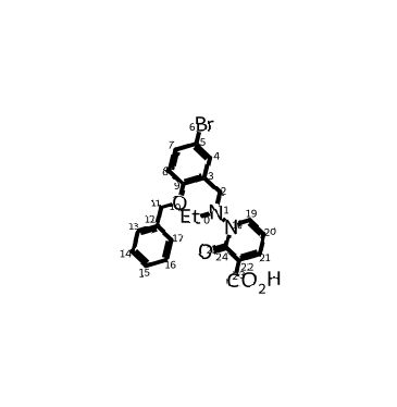 CCN(Cc1cc(Br)ccc1OCc1ccccc1)n1cccc(C(=O)O)c1=O